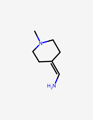 CN1CCC(=CN)CC1